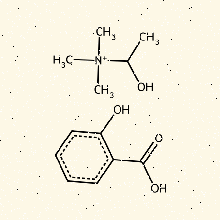 CC(O)[N+](C)(C)C.O=C(O)c1ccccc1O